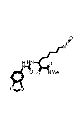 CNC(=O)C(=O)C(CCCCCN=C=O)NC(=O)Nc1ccc2c(c1)OCO2